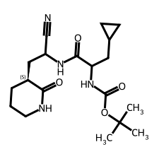 CC(C)(C)OC(=O)NC(CC1CC1)C(=O)NC(C#N)C[C@@H]1CCCNC1=O